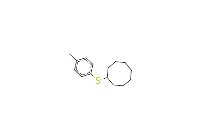 Cc1ccc(SC2CCCCCCC2)cc1